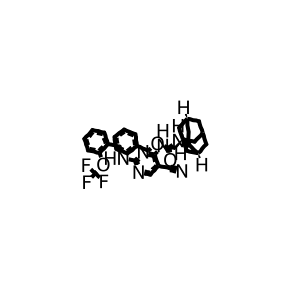 N#Cc1cnc(NCc2ccccc2OC(F)(F)F)nc1NC[C@]12CC3C[C@H](C1)[C@@H](NC(=O)OCc1ccccc1)[C@@H](C3)C2